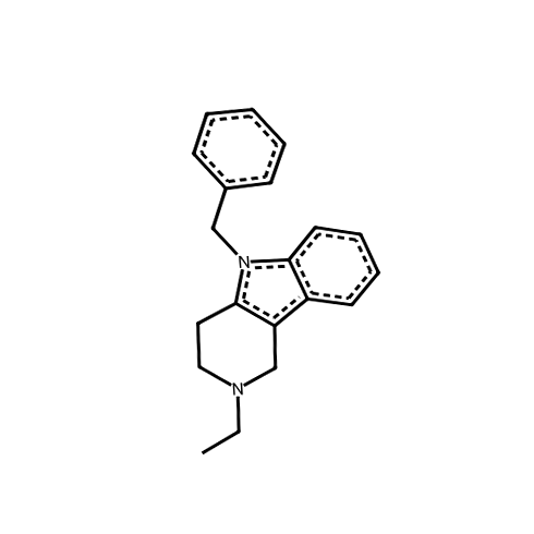 CCN1CCc2c(c3ccccc3n2Cc2ccccc2)C1